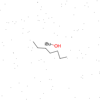 CCC(C)O.CCCCCCC